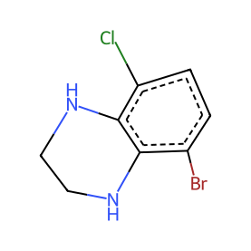 Clc1ccc(Br)c2c1NCCN2